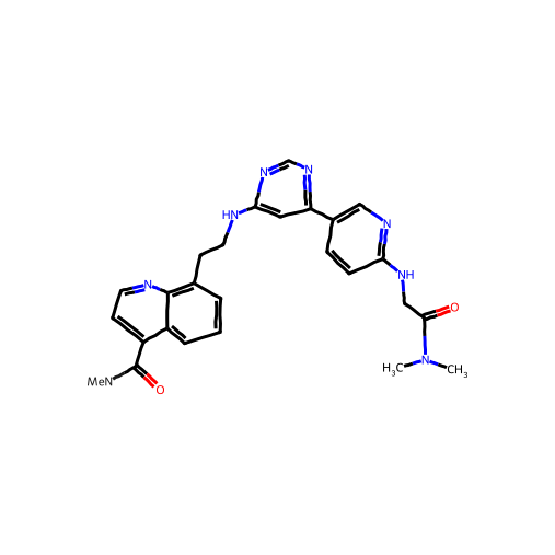 CNC(=O)c1ccnc2c(CCNc3cc(-c4ccc(NCC(=O)N(C)C)nc4)ncn3)cccc12